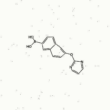 OB(O)c1ccc2cc(Oc3ncccn3)ccc2c1